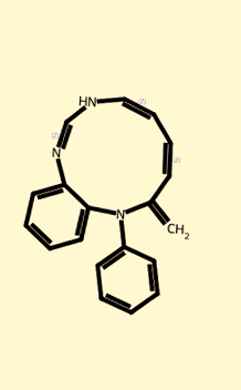 C=C1/C=C\C=C/N/C=N\c2ccccc2N1c1ccccc1